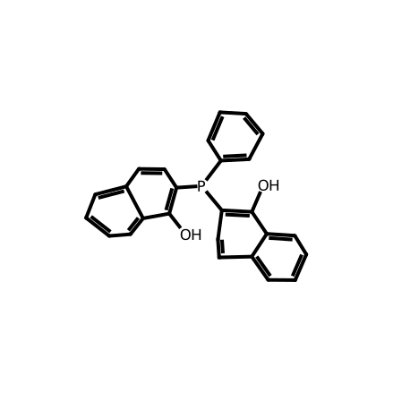 Oc1c(P(c2ccccc2)c2ccc3ccccc3c2O)ccc2ccccc12